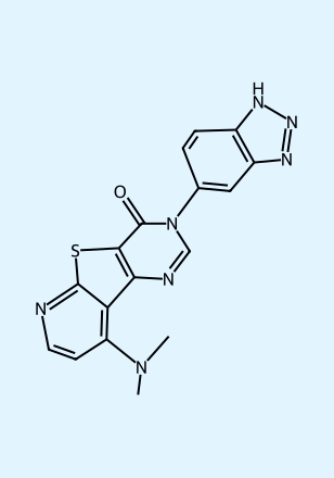 CN(C)c1ccnc2sc3c(=O)n(-c4ccc5[nH]nnc5c4)cnc3c12